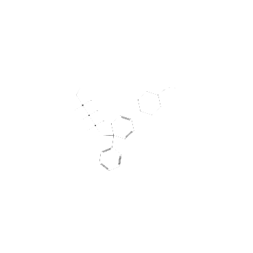 CCCCCCCC[C@H]1CC[C@H](C2=CCC(OC(F)(F)C(F)(F)C(F)(F)CF)(c3ccccc3)C=C2)CC1